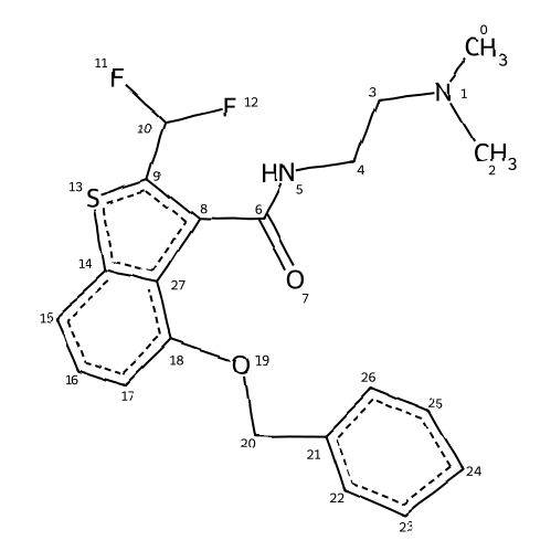 CN(C)CCNC(=O)c1c(C(F)F)sc2cccc(OCc3ccccc3)c12